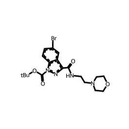 CC(C)(C)OC(=O)n1nc(C(=O)NCCN2CCOCC2)c2cc(Br)ccc21